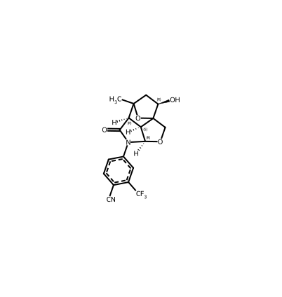 CC12C[C@@H](O)C3(CO[C@@H]4[C@H]3[C@H]1C(=O)N4c1ccc(C#N)c(C(F)(F)F)c1)O2